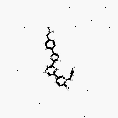 CNCc1ccc(-c2nnc(-c3cncc(-c4ccc(=O)n(CC#N)c4)n3)o2)cc1